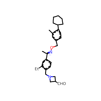 CCc1cc(/C(C)=N/OCc2ccc(C3CCCCC3)c(C)c2)ccc1CN1CC(C=O)C1